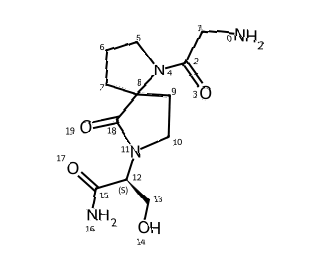 NCC(=O)N1CCCC12CCN([C@@H](CO)C(N)=O)C2=O